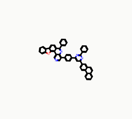 c1ccc(-c2nc(-c3ccc(-c4cncc5c4nc(-c4ccccc4)c4ccc6c7ccccc7oc6c45)cc3)cc(-c3ccc4c(ccc5ccccc54)c3)n2)cc1